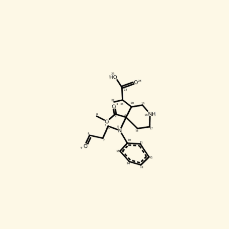 COC(=O)C1(N(CCC=O)c2ccccc2)CCNCC1C(C)C(=O)O